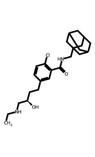 CCNC[C@H](O)CCc1ccc(Cl)c(C(=O)NCC23CC4CC(CC(C4)C2)C3)c1